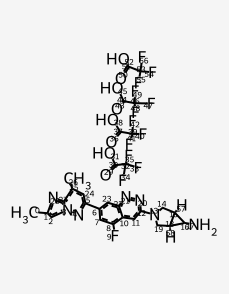 Cc1cn2nc(-c3cc(F)c4cc(N5C[C@@H]6C(N)[C@@H]6C5)nnc4c3)cc(C)c2n1.O=C(O)C(F)(F)F.O=C(O)C(F)(F)F.O=C(O)C(F)(F)F.O=C(O)C(F)(F)F